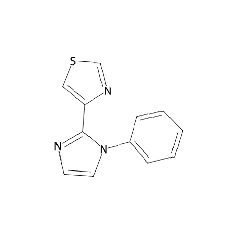 c1ccc(-n2ccnc2-c2cscn2)cc1